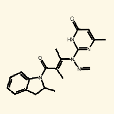 C=NN(/C(C)=C(\C)C(=O)N1c2ccccc2CC1C)c1nc(C)cc(=O)[nH]1